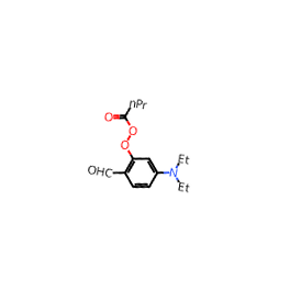 CCCC(=O)OOc1cc(N(CC)CC)ccc1C=O